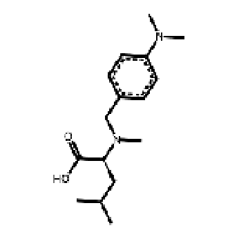 CC(C)C[C@@H](C(=O)O)N(C)Cc1ccc(N(C)C)cc1